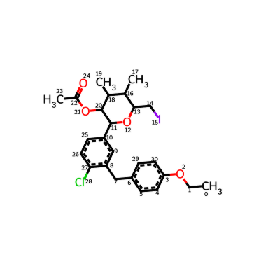 CCOc1ccc(Cc2cc(C3OC(CI)C(C)C(C)C3OC(C)=O)ccc2Cl)cc1